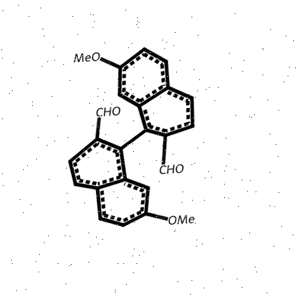 COc1ccc2ccc(C=O)c(-c3c(C=O)ccc4ccc(OC)cc34)c2c1